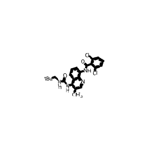 Cc1cnc2c(NC(=O)c3c(Cl)cccc3Cl)cccc2c1NC(=O)NCC(C)(C)C